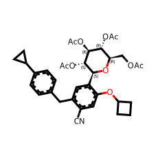 CC(=O)OC[C@H]1O[C@@H](c2cc(Cc3ccc(C4CC4)cc3)c(C#N)cc2OC2CCC2)[C@H](OC(C)=O)[C@@H](OC(C)=O)[C@@H]1OC(C)=O